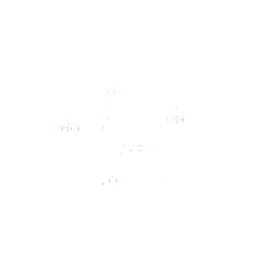 O=C(O)c1occc1O